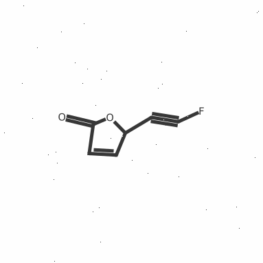 O=C1C=CC(C#CF)O1